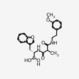 COc1cccc(CCNC(=O)C(C)C(=O)N[C@@H](Cc2coc3ccccc23)B(O)O)c1